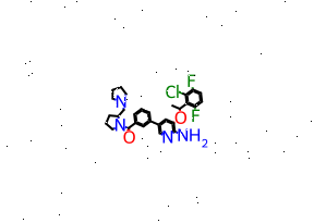 CC(Oc1cc(-c2cccc(C(=O)N3CCCC3CN3CCCC3)c2)cnc1N)c1c(F)ccc(F)c1Cl